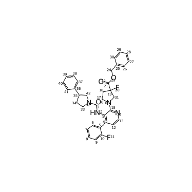 O=C(Nc1c(-c2ccccc2F)ccnc1N1CCC(F)(C(=O)OCc2ccccc2)C1)N1CCC(c2ccccc2)C1